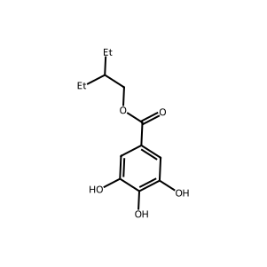 CCC(CC)COC(=O)c1cc(O)c(O)c(O)c1